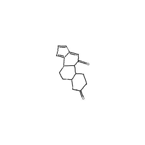 O=C1CCC2C(CCC3C4=CC=CC4=CC(=O)C32)C1